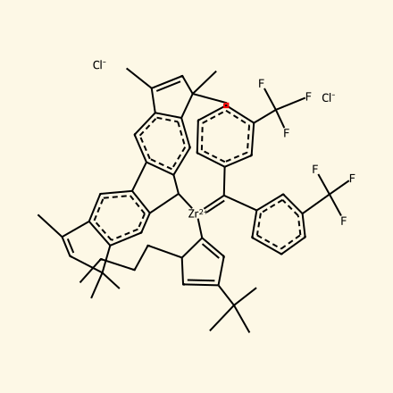 CCCCC1C=C(C(C)(C)C)C=[C]1[Zr+2](=[C](c1cccc(C(F)(F)F)c1)c1cccc(C(F)(F)F)c1)[CH]1c2cc3c(cc2-c2cc4c(cc21)C(C)(C)C=C4C)C(C)=CC3(C)C.[Cl-].[Cl-]